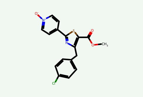 COC(=O)c1sc(-c2cc[n+]([O-])cc2)nc1Cc1ccc(Cl)cc1